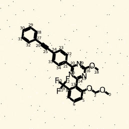 COCOc1cccc(C(F)(F)F)c1-c1nc(OC)nc(-c2ccc(C#Cc3ccccc3)cc2)n1